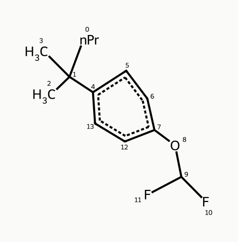 CCCC(C)(C)c1ccc(OC(F)F)cc1